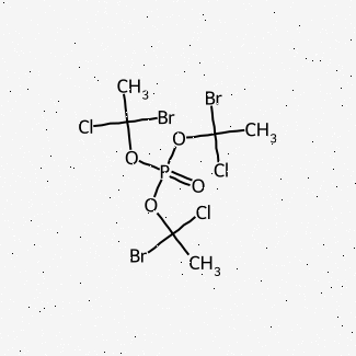 CC(Cl)(Br)OP(=O)(OC(C)(Cl)Br)OC(C)(Cl)Br